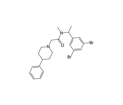 CC(c1cc(Br)cc(Br)c1)N(C)C(=O)CN1CCC(c2ccccc2)CC1